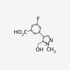 Cn1ncc(-c2cc(F)cc(C(=O)O)c2)c1CO